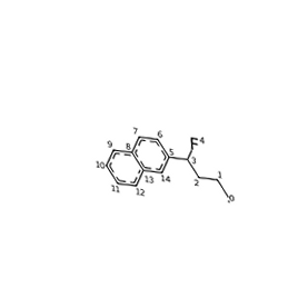 [CH2]CCC(F)c1ccc2ccccc2c1